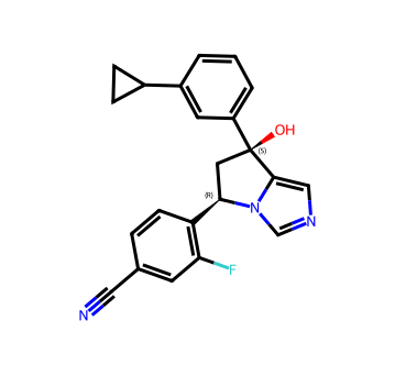 N#Cc1ccc([C@H]2C[C@](O)(c3cccc(C4CC4)c3)c3cncn32)c(F)c1